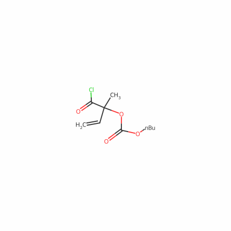 C=CC(C)(OC(=O)OCCCC)C(=O)Cl